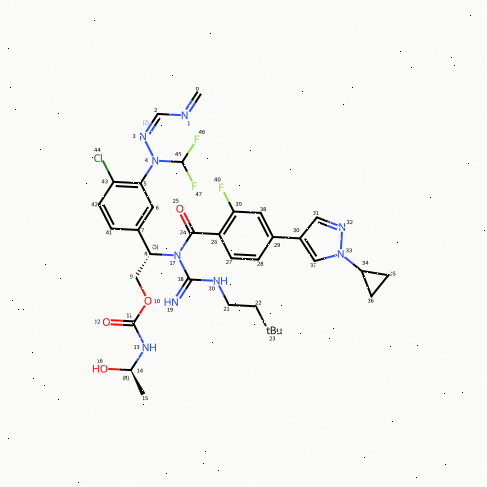 C=N/C=N\N(c1cc([C@@H](COC(=O)N[C@@H](C)O)N(C(=N)NCCC(C)(C)C)C(=O)c2ccc(-c3cnn(C4CC4)c3)cc2F)ccc1Cl)C(F)F